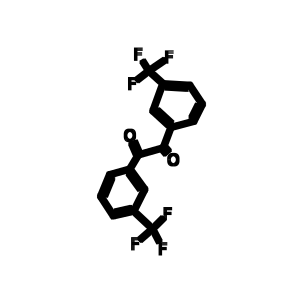 O=C(C(=O)c1cccc(C(F)(F)F)c1)c1cccc(C(F)(F)F)c1